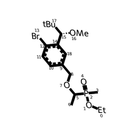 CCOP(C)(=O)C(C)OCc1ccc(Br)c([C@@H](OC)C(C)(C)C)c1